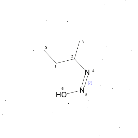 CCC(C)/N=N\O